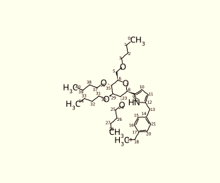 CCCCOC[C@H]1O[C@@H](c2ccc(Cc3ccc(CC)cc3)[nH]2)[C@H](OCCCC)[C@@H](OCCCC)[C@@H]1OCCCC